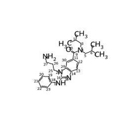 CC(C)CN(CC(C)C)C(=O)c1ccc2nc(Nc3ccccc3)n(CCCN)c2c1